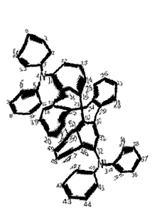 c1ccc(N(c2ccccc2)c2cccc3c2-c2ccccc2C32c3ccccc3-c3cc(N(c4ccccc4)c4ccccc4)c4ccccc4c32)cc1